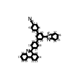 N#Cc1ccc(-c2cc(-c3ccc(-c4nc5ccccc5c5ccccc45)cc3)cc(-c3nc4ccccc4s3)c2)cc1